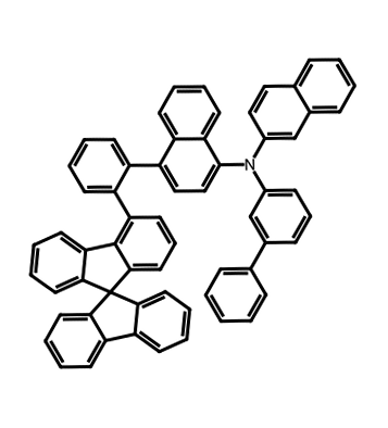 c1ccc(-c2cccc(N(c3ccc4ccccc4c3)c3ccc(-c4ccccc4-c4cccc5c4-c4ccccc4C54c5ccccc5-c5ccccc54)c4ccccc34)c2)cc1